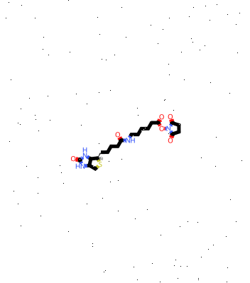 O=C(CCCC[C@@H]1SCC2NC(=O)NC21)NCCCCCC(=O)ON1C(=O)CCC1=O